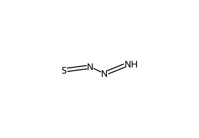 N=NN=S